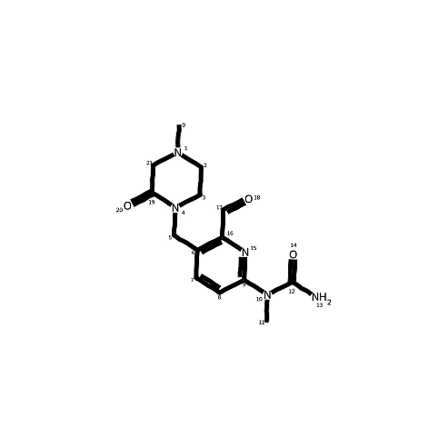 CN1CCN(Cc2ccc(N(C)C(N)=O)nc2C=O)C(=O)C1